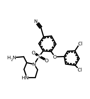 N#Cc1ccc(Oc2cc(Cl)cc(Cl)c2)c(S(=O)(=O)N2CCNCC2CN)c1